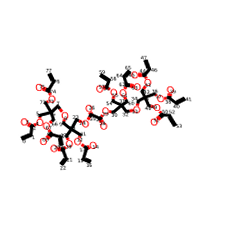 C=CC(=O)OCC(COCC(COC(=O)C=C)(COC(=O)C=C)COC(=O)C(=O)OCC(COCC(COC(=O)C=C)(COC(=O)C=C)COC(=O)C=C)(COC(=O)C=C)COC(=O)C=C)(COC(=O)C=C)COC(=O)C=C